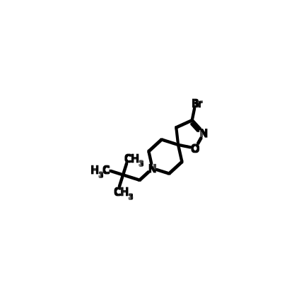 CC(C)(C)CN1CCC2(CC1)CC(Br)=NO2